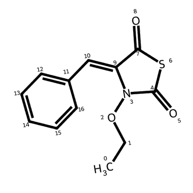 CCON1C(=O)SC(=O)C1=Cc1ccccc1